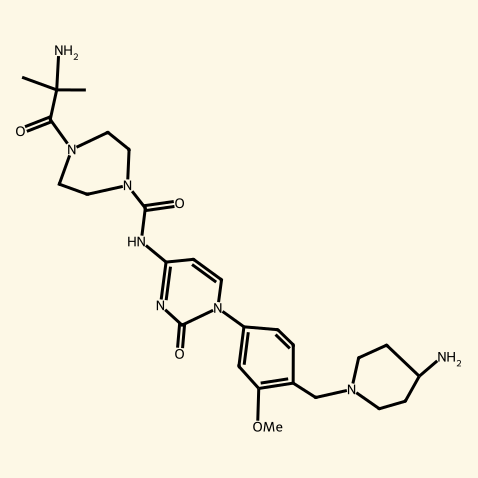 COc1cc(-n2ccc(NC(=O)N3CCN(C(=O)C(C)(C)N)CC3)nc2=O)ccc1CN1CCC(N)CC1